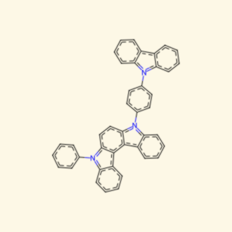 c1ccc(-n2c3ccccc3c3c4c5ccccc5n(-c5ccc(-n6c7ccccc7c7ccccc76)cc5)c4ccc32)cc1